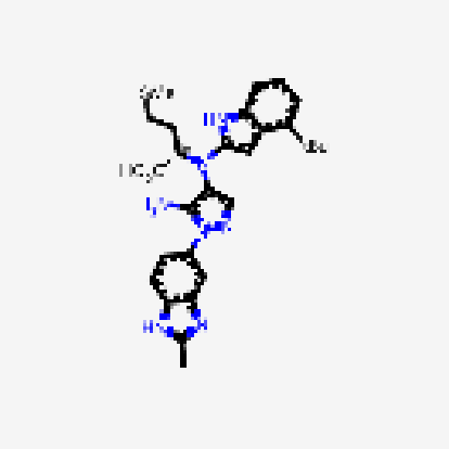 CSCC[C@@H](C(=O)O)N(c1cc2c(C(C)(C)C)cccc2[nH]1)c1cnn(-c2ccc3[nH]c(C)nc3c2)c1N